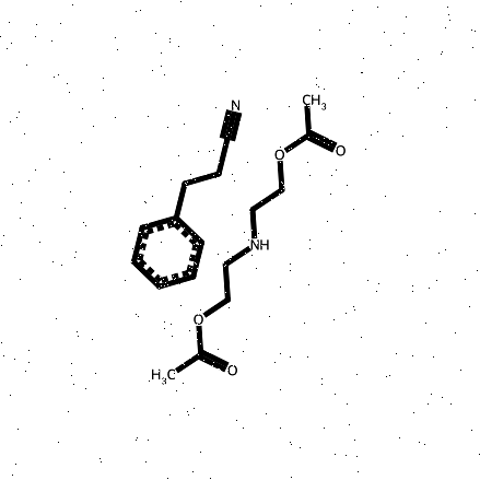 CC(=O)OCCNCCOC(C)=O.N#CCCc1ccccc1